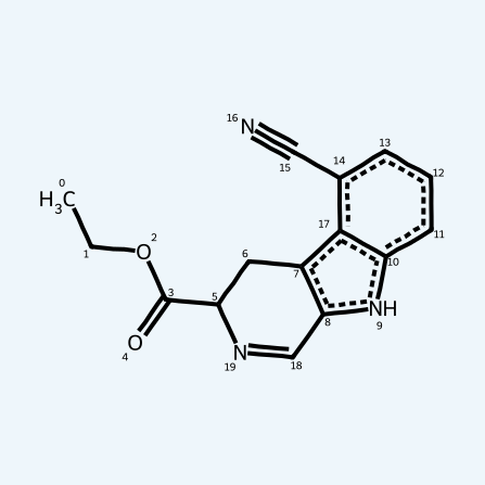 CCOC(=O)C1Cc2c([nH]c3cccc(C#N)c23)C=N1